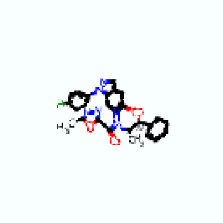 Cc1nnc(C(=O)N[C@@H](C)[C@H](Oc2ccc3c(cnn3-c3ccc(F)cc3)c2)c2ccccc2)o1